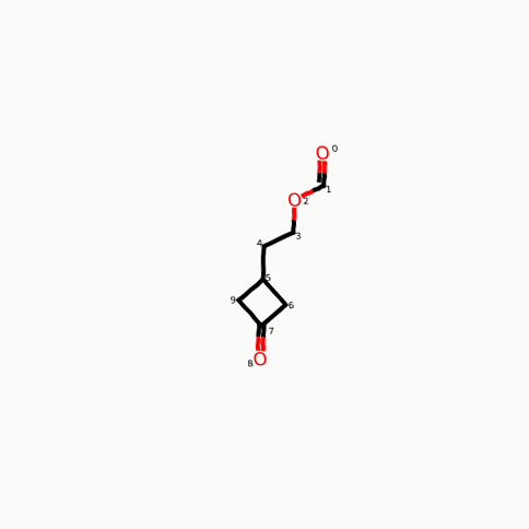 O=COCCC1CC(=O)C1